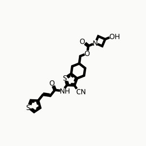 N#Cc1c(NC(=O)C=Cc2ccsc2)sc2c1CCC(COC(=O)N1CC(O)C1)C2